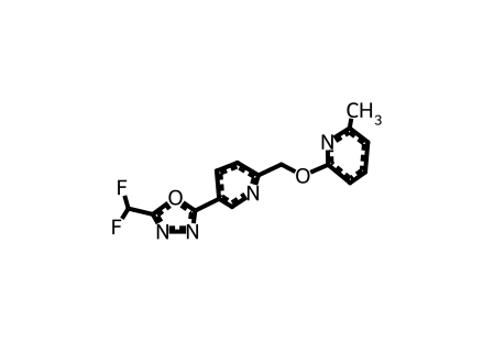 Cc1cccc(OCc2ccc(-c3nnc(C(F)F)o3)cn2)n1